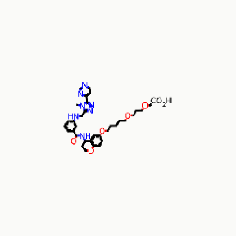 Cn1c(CNc2cccc(C(=O)NC3CCOc4ccc(OCCCCCOCCCOCC(=O)O)cc43)c2)nnc1-c1ccncn1